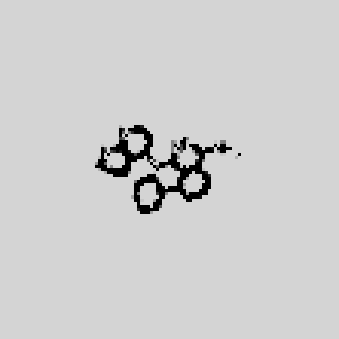 Nc1nnc(Sc2ccnc3ncccc23)c2c(-c3ccccc3)cccc12